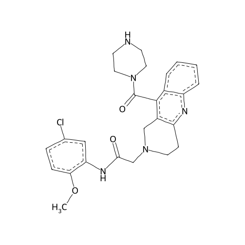 COc1ccc(Cl)cc1NC(=O)CN1CCc2nc3ccccc3c(C(=O)N3CCNCC3)c2C1